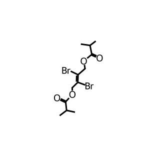 CC(C)C(=O)OCC(Br)=C(Br)COC(=O)C(C)C